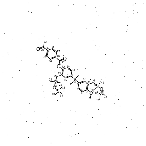 COc1ccc(C(C)(C)c2ccc(OC(=O)c3ccc(C(C)=O)cc3)c(C[Si](C)(C)O[Si](C)(C)C)c2)cc1C[Si](C)(C)O[Si](C)(C)C